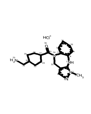 Cl.Cn1ncc2c1Nc1ccccc1N(C(=O)C1CCC(CN)CC1)C2